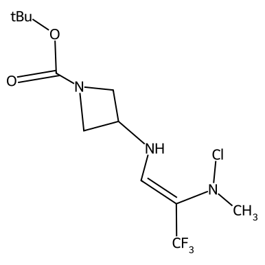 CN(Cl)/C(=C\NC1CN(C(=O)OC(C)(C)C)C1)C(F)(F)F